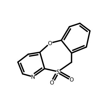 O=S1(=O)Cc2ccccc2Oc2cccnc21